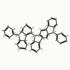 c1ccc(-n2c3ccccc3c3cc4c(cc32)c2ccccc2n4-c2cccc3c2c2ccccc2n3-c2ccccc2)cc1